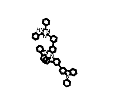 C1=CC(n2c3ccccc3c3cc(-c4ccc5c(c4)c4ccccc4n5-c4ccc(-c5cccc(C6=NC(c7ccccc7)NC(c7ccccc7)=N6)c5)cc4-n4c5c(c6ccccc64)CCC=C5)ccc32)=CCC1